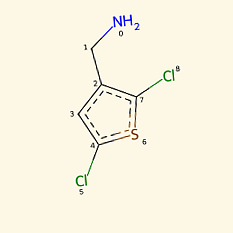 NCc1cc(Cl)sc1Cl